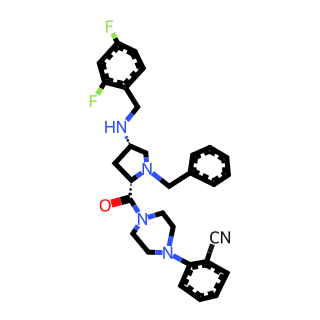 N#Cc1ccccc1N1CCN(C(=O)[C@@H]2C[C@H](NCc3ccc(F)cc3F)CN2Cc2ccccc2)CC1